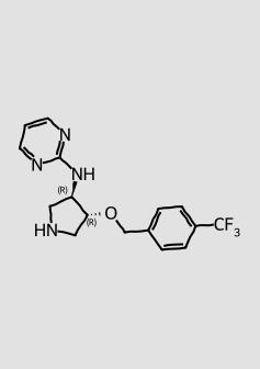 FC(F)(F)c1ccc(CO[C@@H]2CNC[C@H]2Nc2ncccn2)cc1